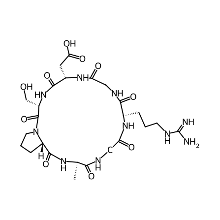 C[C@@H]1NC(=O)[C@@H]2CCCN2C(=O)[C@H](CO)NC(=O)[C@H](CC(=O)O)NC(=O)CNC(=O)[C@H](CCCNC(=N)N)NC(=O)CNC1=O